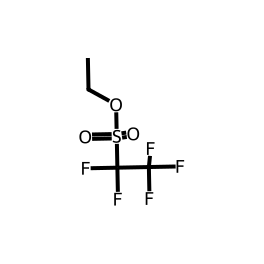 CCOS(=O)(=O)C(F)(F)C(F)(F)F